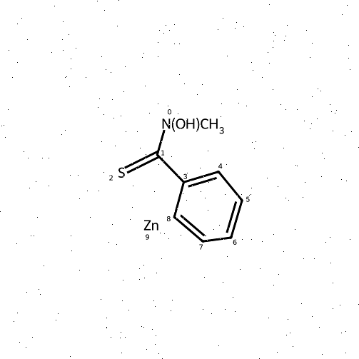 CN(O)C(=S)c1ccccc1.[Zn]